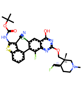 CN1CC/C(=C\F)[C@](C)(COc2nc(O)c3cc(Cl)c(-c4cccc5sc(NC(=O)OC(C)(C)C)c(C#N)c45)c(F)c3n2)C1